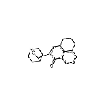 O=c1c2cccc3c2c(cn1C1CN2CCC1CC2)CCC3